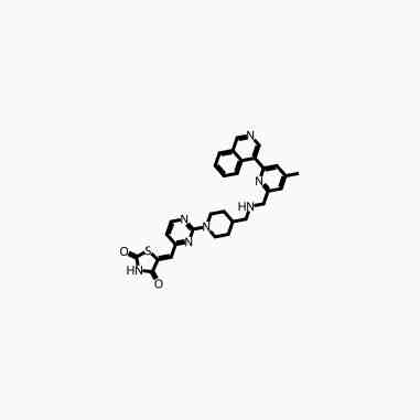 Cc1cc(CNCC2CCN(c3nccc(/C=C4\SC(=O)NC4=O)n3)CC2)nc(-c2cncc3ccccc23)c1